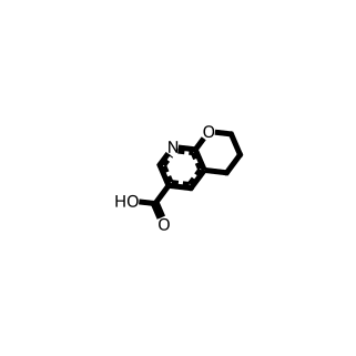 O=C(O)c1cnc2c(c1)CCCO2